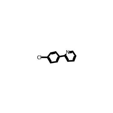 Clc1ccc(-c2ccccn2)cc1